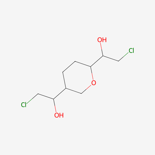 OC(CCl)C1CCC(C(O)CCl)OC1